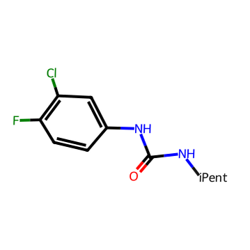 CCCC(C)NC(=O)Nc1ccc(F)c(Cl)c1